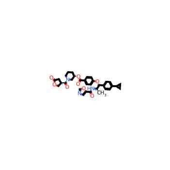 C[C@H](NC(=O)c1cnco1)[C@H](Oc1ccc(C(=O)O[C@H]2CCCN(C(=O)[C@H]3COC(=O)C3)C2)cc1)c1ccc(C2CC2)cc1